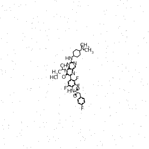 CC(C)n1c(=O)c(-c2cc(F)c(NS(=O)(=O)Cc3ccc(F)cc3)c(F)c2F)nc2cnc(NC3CCC(N(C)C)CC3)nc21.Cl